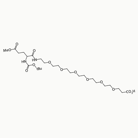 COC(=O)CCC(NC(=O)OC(C)(C)C)C(=O)NCCOCCOCCOCCOCCOCCOCCC(=O)O